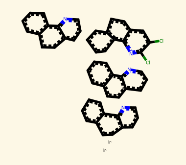 Clc1cc2ccc3ccccc3c2nc1Cl.[Ir].[Ir].c1ccc2c(c1)ccc1cccnc12.c1ccc2c(c1)ccc1cccnc12.c1ccc2c(c1)ccc1cccnc12